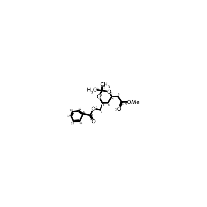 COC(=O)C[C@H]1C[C@@H](COC(=O)c2ccccc2)OC(C)(C)O1